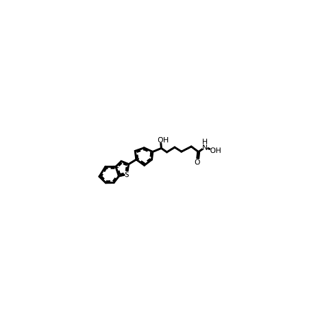 O=C(CCCCC(O)c1ccc(-c2cc3ccccc3s2)cc1)NO